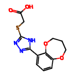 O=C(O)CSc1nnc(-c2cccc3c2OCCCO3)[nH]1